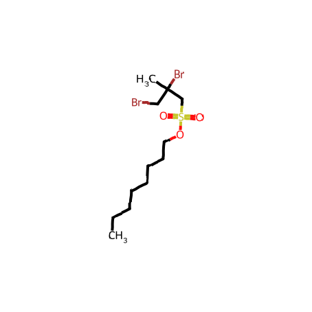 CCCCCCCCOS(=O)(=O)CC(C)(Br)CBr